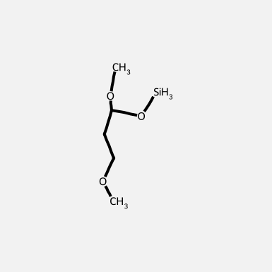 COCCC(OC)O[SiH3]